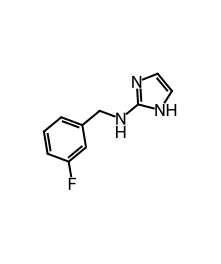 Fc1cccc(CNc2ncc[nH]2)c1